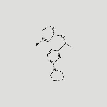 CC(Oc1cccc(F)c1)c1cccc(N2CCCC2)n1